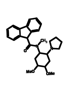 COC1CC(N2CCCC2)C(N(C)C(=O)C2c3ccccc3-c3ccccc32)CC1OC